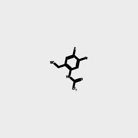 N#CCc1cc(F)c(Br)cc1NC(=O)C(F)(F)F